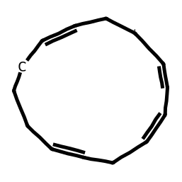 [CH]1C=CC=CCC=CCCCC=CC1